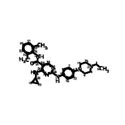 CCN1CCN(c2ccc(Nc3ncc(C(=O)Nc4c(C)cccc4C)c(NC4CC4)n3)cc2)CC1